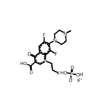 CN1CCN(c2c(F)cc3c(=O)c(C(=O)O)cn(CCF)c3c2F)CC1.O=P([O-])(O)O.[K+]